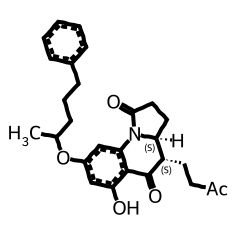 CC(=O)CC[C@@H]1C(=O)c2c(O)cc(OC(C)CCCc3ccccc3)cc2N2C(=O)CC[C@@H]12